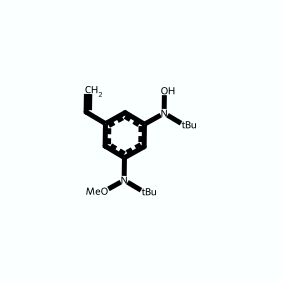 C=Cc1cc(N(O)C(C)(C)C)cc(N(OC)C(C)(C)C)c1